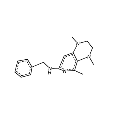 Cc1nc(NCc2ccccc2)cc2c1N(C)CCN2C